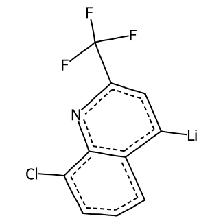 [Li][c]1cc(C(F)(F)F)nc2c(Cl)cccc12